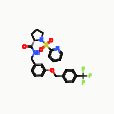 O=C(NCc1cccc(OCc2ccc(C(F)(F)F)cc2)c1)[C@@H]1CCCN1S(=O)(=O)c1ccccn1